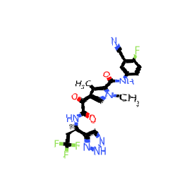 Cc1c(C(=O)C(=O)N[C@H](CC(F)(F)F)c2cn[nH]n2)cn(C)c1C(=O)Nc1ccc(F)c(C#N)c1